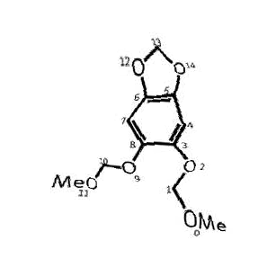 COCOc1cc2c(cc1OCOC)OCO2